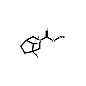 C[C@@H]1C2CC[C@H]1CN(C(=O)OC(C)(C)C)C2